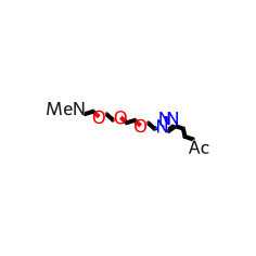 CNCCOCCOCCOCCn1cc(CCCC(C)=O)nn1